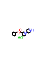 Cl.O=C(OCc1ccccc1)C1CCCN(C2CCNCC2)C1